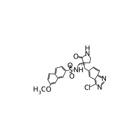 COc1ccc2ccc(S(=O)(=O)NC[C@]3(Cc4ccc5ncnc(Cl)c5c4)CCNC3=O)cc2c1